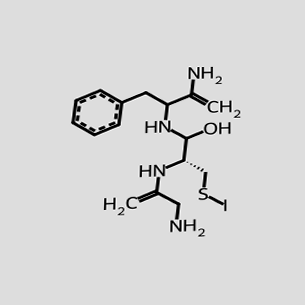 C=C(CN)N[C@@H](CSI)C(O)NC(Cc1ccccc1)C(=C)N